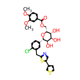 COc1ccc(C(=O)OC[C@H]2O[C@@H](c3ccc(Cl)c(Cc4ncc(-c5ccsc5)s4)c3)[C@H](O)[C@H](O)[C@H]2O)cc1OC